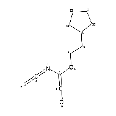 O=C=C(N=C=S)OCCC1CCCC1